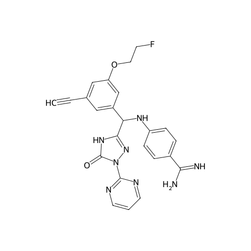 C#Cc1cc(OCCF)cc(C(Nc2ccc(C(=N)N)cc2)c2nn(-c3ncccn3)c(=O)[nH]2)c1